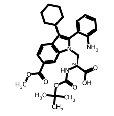 COC(=O)c1ccc2c(C3CCCCC3)c(-c3ccccc3N)n(C[C@H](NC(=O)OC(C)(C)C)C(=O)O)c2c1